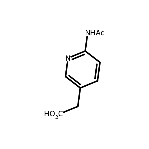 CC(=O)Nc1ccc(CC(=O)O)cn1